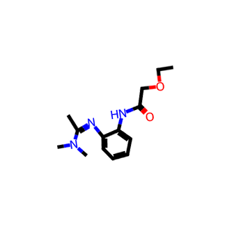 CCOCC(=O)Nc1ccccc1N=C(C)N(C)C